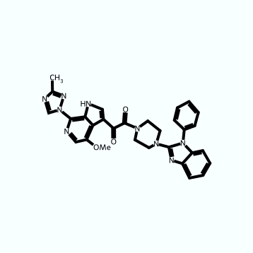 COc1cnc(-n2cnc(C)n2)c2[nH]cc(C(=O)C(=O)N3CCN(c4nc5ccccc5n4-c4ccccc4)CC3)c12